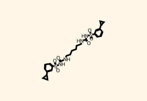 O=C(NCCCCCCNC(=O)NS(=O)(=O)c1cccc(C2CC2)c1)NS(=O)(=O)c1cccc(C2CC2)c1